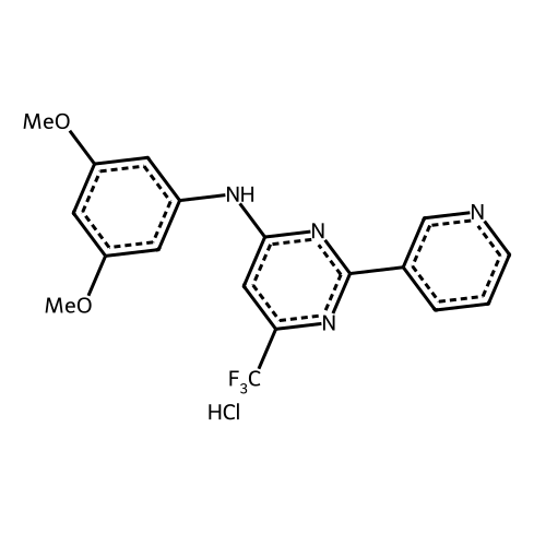 COc1cc(Nc2cc(C(F)(F)F)nc(-c3cccnc3)n2)cc(OC)c1.Cl